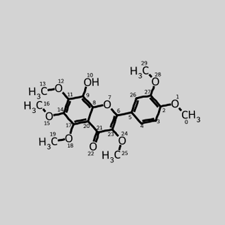 COc1ccc(-c2oc3c(O)c(OC)c(OC)c(OC)c3c(=O)c2OC)cc1OC